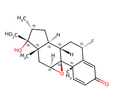 C[C@@H]1C[C@H]2[C@@H]3C[C@H](F)C4=CC(=O)C=C[C@]4(C)[C@@]34O[C@H]4C[C@]2(C)[C@@]1(O)C(=O)O